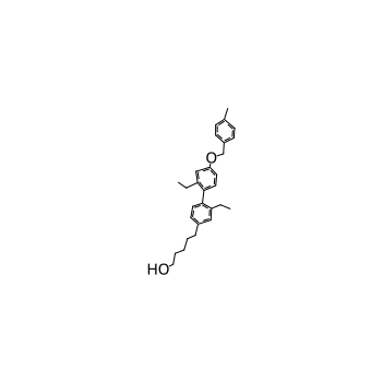 CCc1cc(CCCCCO)ccc1-c1ccc(OCc2ccc(C)cc2)cc1CC